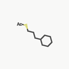 CC(=O)SCCCC1CCCCC1